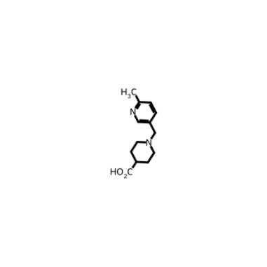 Cc1ccc(CN2CCC(C(=O)O)CC2)cn1